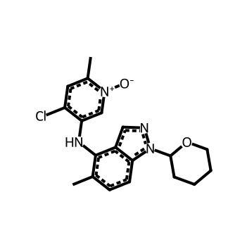 Cc1ccc2c(cnn2C2CCCCO2)c1Nc1c[n+]([O-])c(C)cc1Cl